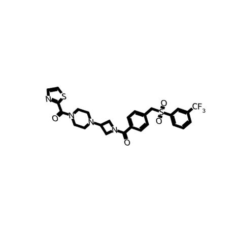 O=C(c1ccc(CS(=O)(=O)c2cccc(C(F)(F)F)c2)cc1)N1CC(N2CCN(C(=O)c3nccs3)CC2)C1